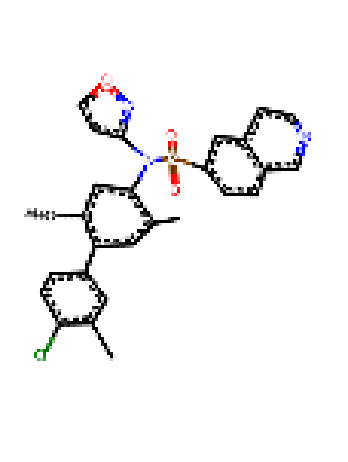 COc1cc(N(c2ccon2)S(=O)(=O)c2ccc3cnccc3c2)c(C)cc1-c1ccc(Cl)c(C)c1